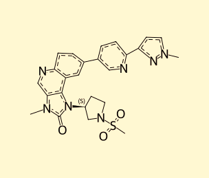 Cn1ccc(-c2ccc(-c3ccc4ncc5c(c4c3)n([C@H]3CCN(S(C)(=O)=O)C3)c(=O)n5C)cn2)n1